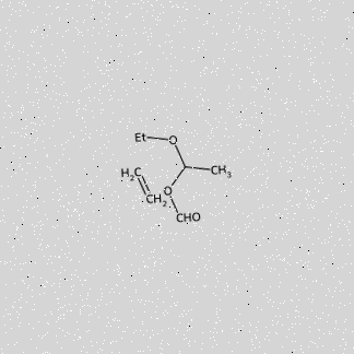 C=C.CCOC(C)OC=O